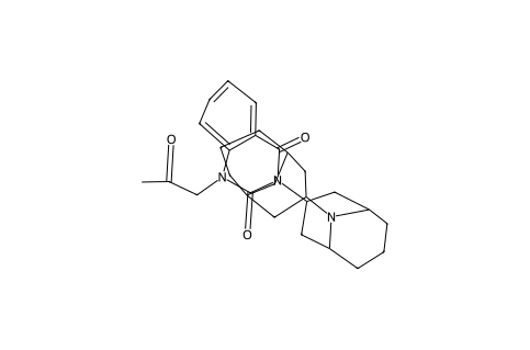 CC(=O)Cn1c(=O)n(C2CC3CCCC(C2)N3C2CC3CCCC(C3)C2)c(=O)c2ccccc21